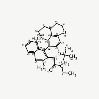 CCOC(=O)[C@@H](OC(C)(C)C)c1c(C)cc2ccccc2c1-c1ccc2c3c1N(C)CCC3CCO2